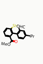 COC(=O)c1cccc(S)c1-c1ccc(C(C)C)cc1C=O